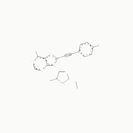 [3H]c1ccc(C#Cc2nc3c(O)ncnc3n2[C@@H]2O[C@H](CC)[C@H](C)C2C)cc1